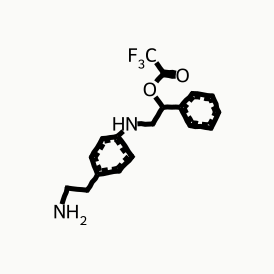 NCCc1ccc(NCC(OC(=O)C(F)(F)F)c2ccccc2)cc1